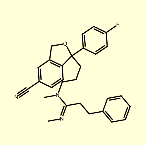 C/N=C(/CCc1ccccc1)N(C)CCCC1(c2ccc(F)cc2)OCc2cc(C#N)ccc21